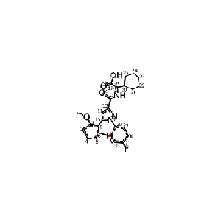 COc1cccc(OC)c1-c1cc(C(=O)N[C@@H](C(=O)O)C2CCCCC2)nn1-c1ccc(F)cc1